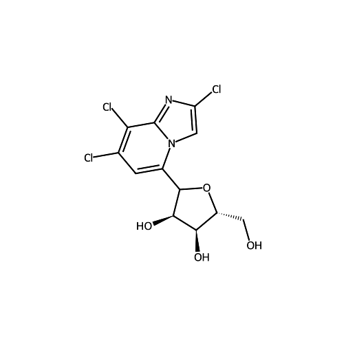 OC[C@H]1OC(c2cc(Cl)c(Cl)c3nc(Cl)cn23)[C@H](O)[C@@H]1O